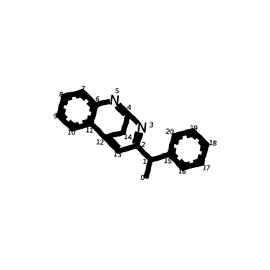 CC(C1=NC2=Nc3ccccc3C(=C1)C2)c1ccccc1